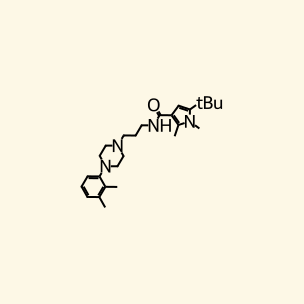 Cc1cccc(N2CCN(CCCNC(=O)c3cc(C(C)(C)C)n(C)c3C)CC2)c1C